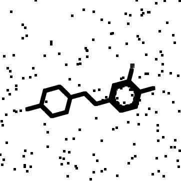 Cc1ccc(CCC2CCC(C)CC2)cc1F